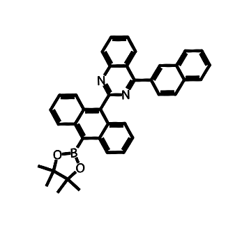 CC1(C)OB(c2c3ccccc3c(-c3nc(-c4ccc5ccccc5c4)c4ccccc4n3)c3ccccc23)OC1(C)C